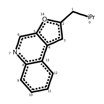 CC(C)Cc1cc2c(cnc3ccccc32)o1